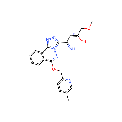 COC/C(O)=C/C(=N)c1nnc2c3ccccc3c(OCc3ccc(C)cn3)nn12